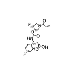 C=CC(=O)N1C[C@@H](F)[C@H](OC(=O)N[C@H](CB(O)O)c2ccc(F)cc2)C1